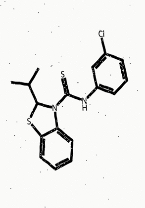 CC(C)C1Sc2ccccc2N1C(=S)Nc1cccc(Cl)c1